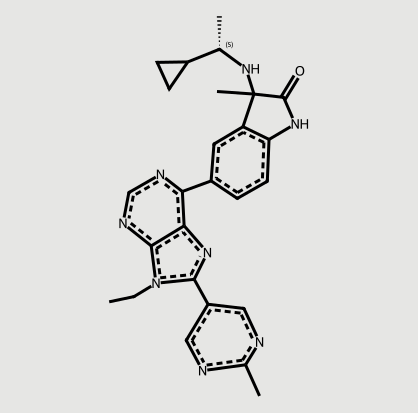 CCn1c(-c2cnc(C)nc2)nc2c(-c3ccc4c(c3)C(C)(N[C@@H](C)C3CC3)C(=O)N4)ncnc21